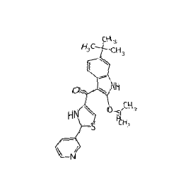 C[SiH](C)Oc1[nH]c2cc(C(C)(C)C)ccc2c1C(=O)C1=CSC(c2cccnc2)N1